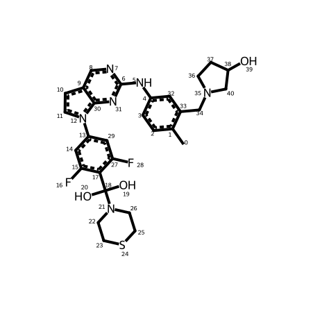 Cc1ccc(Nc2ncc3ccn(-c4cc(F)c(C(O)(O)N5CCSCC5)c(F)c4)c3n2)cc1CN1CCC(O)C1